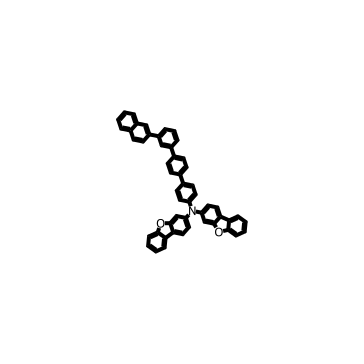 c1cc(-c2ccc(-c3ccc(N(c4ccc5c(c4)oc4ccccc45)c4ccc5c(c4)oc4ccccc45)cc3)cc2)cc(-c2ccc3ccccc3c2)c1